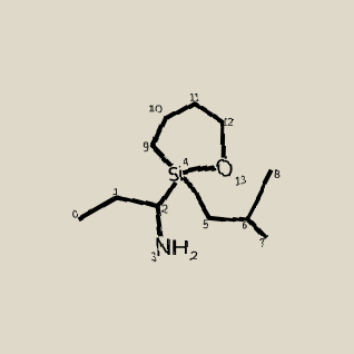 CCC(N)[Si]1(CC(C)C)CCCCO1